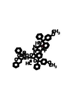 C#C[C@]1(COP(=O)(NC(Cc2ccccc2)C(=O)O)Oc2ccccc2)O[C@@H](n2cnc3c(NC(c4ccccc4)(c4ccccc4)c4ccc(OC)cc4)nc(F)nc32)C[C@@H]1OC(c1ccccc1)(c1ccccc1)c1ccc(OC)cc1